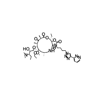 CCO[C@@H](O[C@@H]1[C@@H](C)C(=O)[C@@H](C)C(=O)O[C@H](CC)[C@@]2(C)OC(=O)N(CCCCn3cc(-c4cccnn4)nn3)[C@@H]2[C@@H](C)NC[C@H](C)C[C@@]1(C)OC)C(O)C(CC)N(C)C